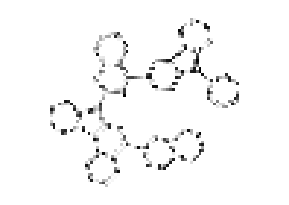 c1ccc(-n2c3ccccc3c3cc(-c4nc(-n5c6ccccc6c6c7ccccc7c(-c7ccc8ccccc8c7)cc65)nc5ccccc45)ccc32)cc1